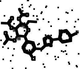 CC[C@H]1OC(c2ccc(Cl)c(Cc3ccc(-c4ccc(F)cn4)s3)c2)[C@H](OC(C)=O)[C@@H](OC(C)=O)[C@@H]1OC(C)=O